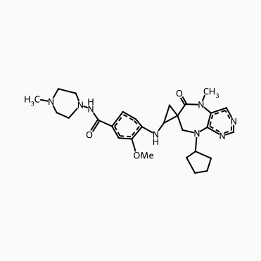 COc1cc(C(=O)NN2CCN(C)CC2)ccc1NC1CC12CN(C1CCCC1)c1ncncc1N(C)C2=O